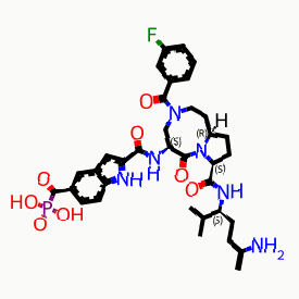 C=C(N)CC[C@H](NC(=O)[C@@H]1CC[C@@H]2CCN(C(=O)c3cccc(F)c3)C[C@H](NC(=O)c3cc4cc(C(=O)P(=O)(O)O)ccc4[nH]3)C(=O)N21)C(C)C